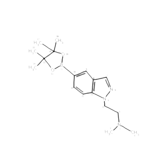 CN(C)CCn1ncc2cc(B3OC(C)(C)C(C)(C)O3)ccc21